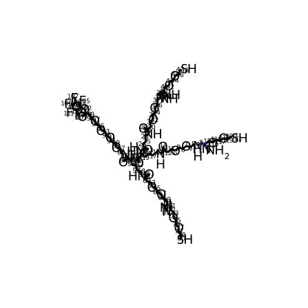 NN/C(=C\NCCOCCOCCC(=O)NCCCC[C@H](NC(=O)CCCNC(=O)CCOCCOCCN1C=C(COCCOCCS)NN1)C(=O)N[C@@H](CCCCNC(=O)CCOCCOCCn1cc(COCCOCCS)nn1)C(=O)NCCOCCOCCOCCOCCC(=O)Oc1c(F)c(F)c(F)c(F)c1F)COCCOCCS